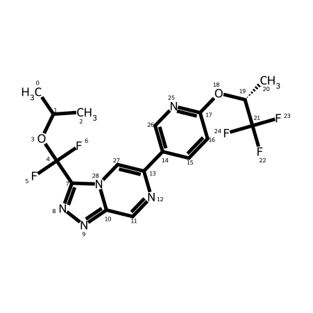 CC(C)OC(F)(F)c1nnc2cnc(-c3ccc(O[C@H](C)C(F)(F)F)nc3)cn12